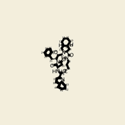 CCCCNC(=O)[C@@H]1C[C@@H]2CCCC[C@@H]2CN1C[C@@H](O)[C@H](Cc1ccccc1)N1C(=O)C[C@H](NC(=O)c2ccc3ccccc3n2)C1=O